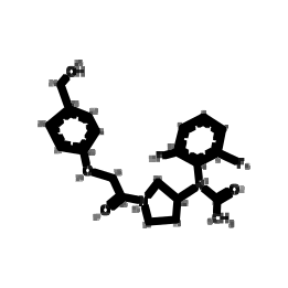 CC(=O)N(c1c(F)cccc1F)C1CCN(C(=O)COc2ccc(CO)cc2)C1